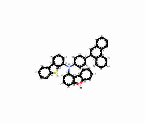 c1ccc2c(c1)cc(-c1ccc(N(c3cccc4c3sc3ccccc34)c3cccc4oc5ccccc5c34)cc1)c1ccccc12